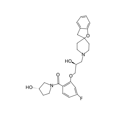 O=C(c1ccc(F)cc1OC[C@@H](O)CN1CCC2(CC1)Cc1ccccc1O2)N1CC[C@H](O)C1